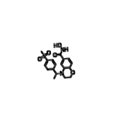 CC(c1ccc(S(C)(=O)=O)cc1)N1CCOc2ccc(C(=O)NO)cc21